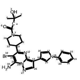 CC(C)(O)CC(=O)N1CCC(c2nc3c(-c4ccn(-c5ccccc5)c4)cnn3c(N)c2Br)CC1